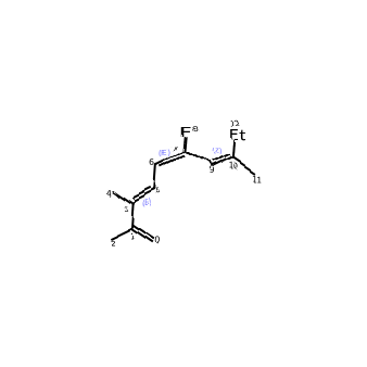 C=C(C)/C(C)=C/C=C(F)\C=C(\C)CC